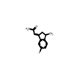 CC1CC(=CC(N)=O)c2cc(F)ccc21